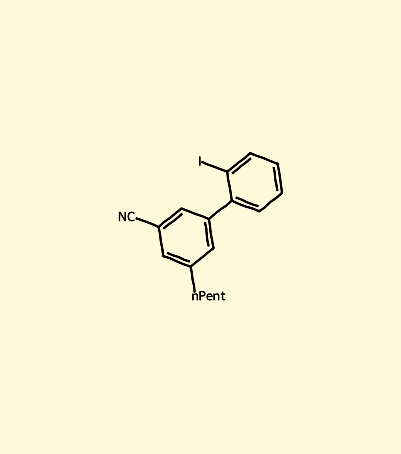 CCCCCc1cc(C#N)cc(-c2ccccc2I)c1